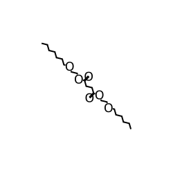 CCCCCCCOCCOC(=O)CCC(=O)OCCOCCCCCC